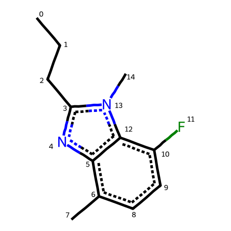 CCCc1nc2c(C)ccc(F)c2n1C